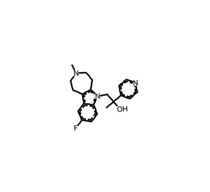 CN1CCc2c(n(CC(C)(O)c3ccncc3)c3ccc(F)cc23)CC1